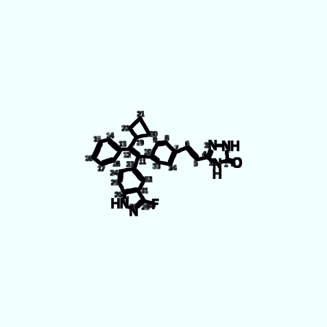 O=c1[nH]nc(C=Cc2ccc(C(=C(c3ccccc3)C3CCC3)c3ccc4[nH]nc(F)c4c3)cc2)[nH]1